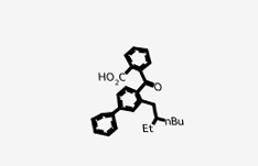 CCCCC(CC)Cc1cc(-c2ccccc2)ccc1C(=O)c1ccccc1C(=O)O